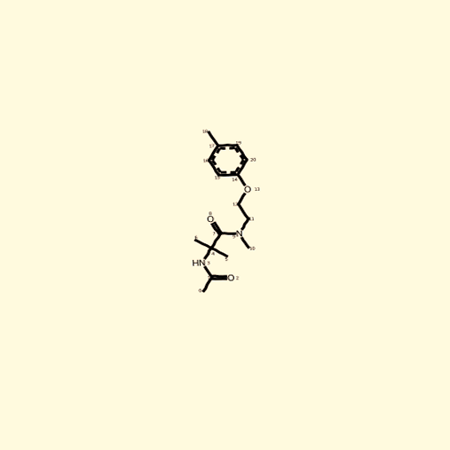 CC(=O)NC(C)(C)C(=O)N(C)CCOc1ccc(C)cc1